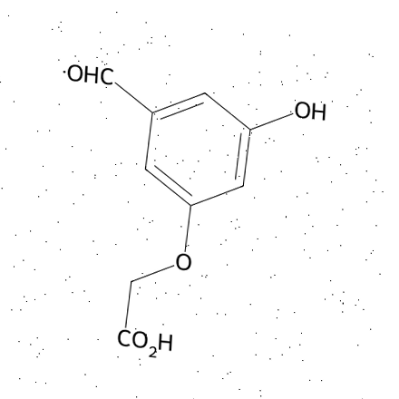 O=[C]c1cc(O)cc(OCC(=O)O)c1